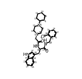 O=C(CN1CCN(C2CCCCC2)CC1)NC(Cc1c[nH]c2ccccc12)C(=O)NCc1ccccc1Cl